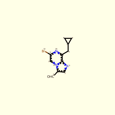 O=Cc1cnc2c(CC3CC3)nc(Br)cn12